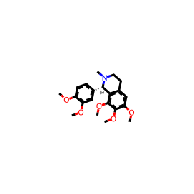 COc1ccc([C@H]2c3c(cc(OC)c(OC)c3OC)CCN2C)cc1OC